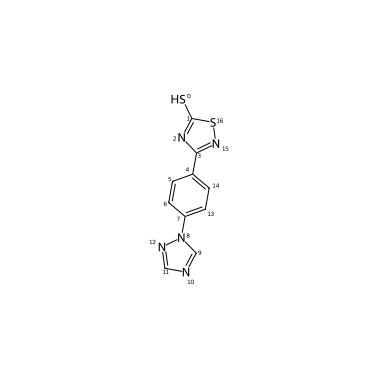 Sc1nc(-c2ccc(-n3cncn3)cc2)ns1